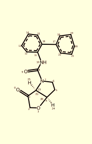 O=C1CO[C@@H]2CCN(C(=O)Nc3ccccc3-c3ccccc3)[C@H]12